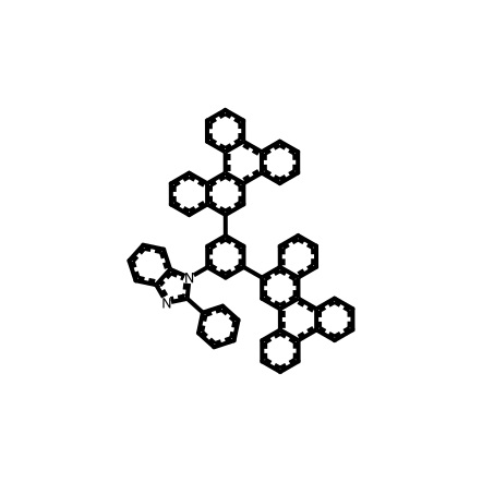 c1ccc(-c2nc3ccccc3n2-c2cc(-c3cc4c5ccccc5c5ccccc5c4c4ccccc34)cc(-c3cc4c5ccccc5c5ccccc5c4c4ccccc34)c2)cc1